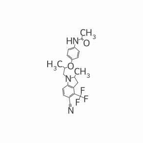 CC(=O)Nc1ccc(OC(C)CN2c3ccc(C#N)c(C(F)(F)F)c3CC2C)cc1